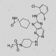 CS(=O)(=O)N1CCC(Nc2ncc3nc(Nc4c(F)cccc4Cl)n([C@H]4CC[C@@H](C(N)=O)CC4)c3n2)CC1